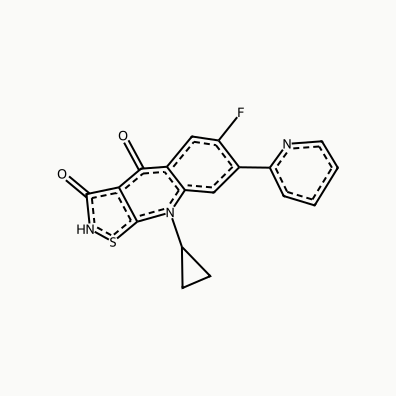 O=c1[nH]sc2c1c(=O)c1cc(F)c(-c3ccccn3)cc1n2C1CC1